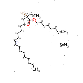 CCCCCCCC/C=C\CCCCCCC(S)(CC)C(=O)OCCCCCCCC.[SnH2]